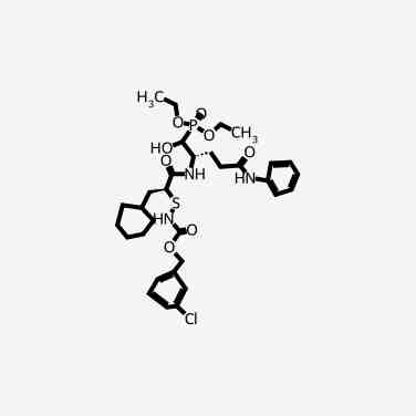 CCOP(=O)(OCC)C(O)[C@H](CCC(=O)Nc1ccccc1)NC(=O)[C@H](CC1CCCCC1)SNC(=O)OCc1cccc(Cl)c1